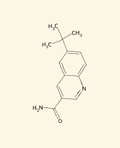 CC(C)(C)c1ccc2ncc(C(N)=O)cc2c1